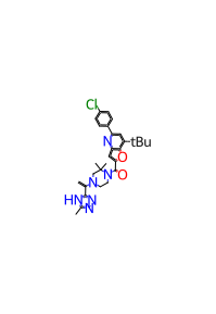 C=C(c1nnc(C)[nH]1)N1CCN(C(=O)c2cc3nc(-c4ccc(Cl)cc4)cc(C(C)(C)C)c3o2)C(C)(C)C1